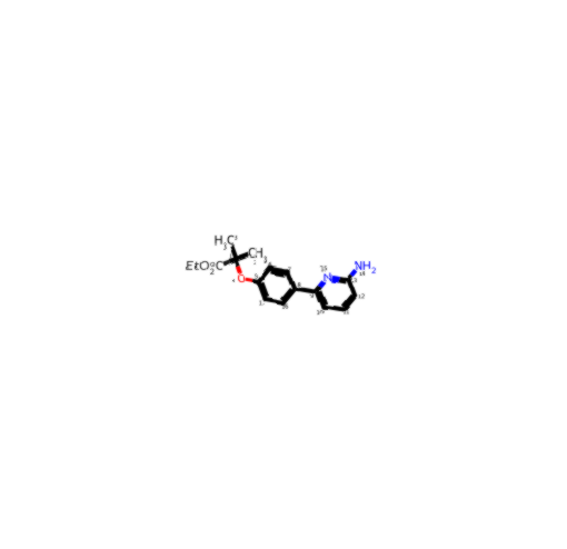 CCOC(=O)C(C)(C)Oc1ccc(-c2cccc(N)n2)cc1